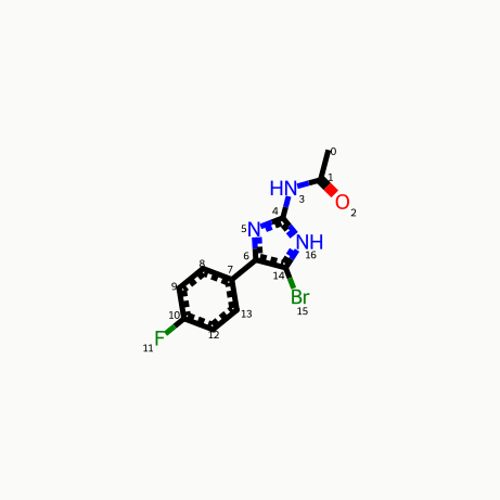 CC(=O)Nc1nc(-c2ccc(F)cc2)c(Br)[nH]1